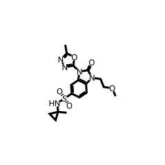 COCCn1c(=O)n(-c2nnc(C)o2)c2cc(S(=O)(=O)NC3(C)CC3)ccc21